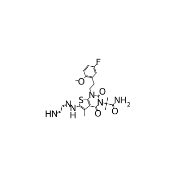 COc1ccc(F)cc1CCn1c(=O)n(C(C)(C)C(N)=O)c(=O)c2c(C)c(N/N=C\C=N)sc21